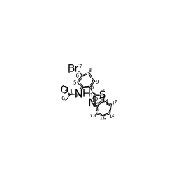 CC(=O)Nc1cc(Br)ccc1-c1nc2ccccc2s1